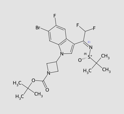 CC(C)(C)OC(=O)N1CC(n2cc(/C(=N\[S@@+]([O-])C(C)(C)C)C(F)F)c3cc(F)c(Br)cc32)C1